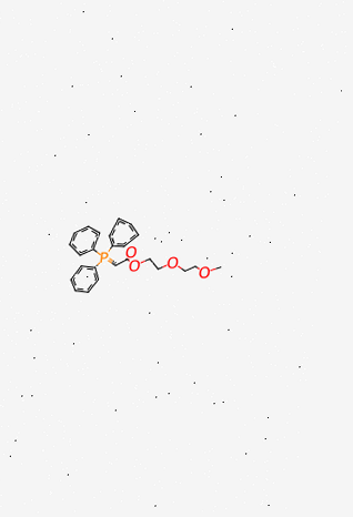 COCCOCCOC(=O)C=P(c1ccccc1)(c1ccccc1)c1ccccc1